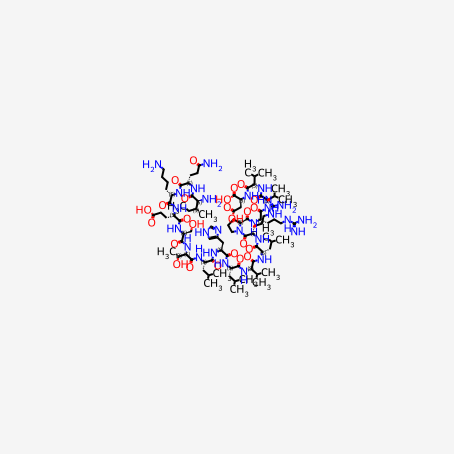 CC[C@H](C)[C@H](N)C(=O)N[C@@H](CCC(N)=O)C(=O)N[C@@H](CCCCN)C(=O)N[C@@H](CCC(=O)O)C(=O)N[C@@H](CO)C(=O)N[C@H](C(=O)N[C@@H](CC(C)C)C(=O)N[C@@H](Cc1c[nH]cn1)C(=O)N[C@@H](CC(C)C)C(=O)N[C@H](C(=O)N[C@@H](CC(C)C)C(=O)N[C@@H](CCCNC(=N)N)C(=O)N1CCC[C@H]1C(=O)N[C@@H](CCCNC(=N)N)C(=O)N[C@H](C(=O)N[C@H](C(=O)N[C@@H](CC(=O)O)C(=O)O)C(C)C)C(C)C)C(C)C)[C@@H](C)O